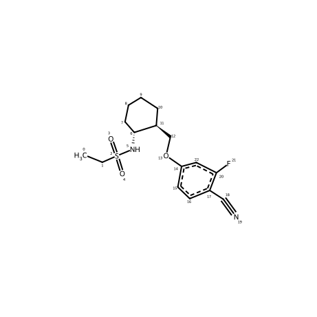 CCS(=O)(=O)N[C@@H]1CCCC[C@H]1COc1ccc(C#N)c(F)c1